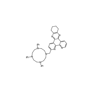 CC(C)N1CCN(Cc2ccc3c(n2)c2ncccc2c2nc4c(nc32)CCCC4)CCN(C(C)C)CCN(C(C)C)CC1